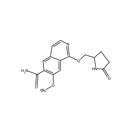 CC(C)(C)Oc1cc2c(OCC3CCC(=O)N3)nccc2cc1C(N)=O